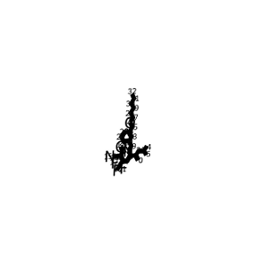 C=C(C=C(C)C)c1cc(C(F)(F)F)c(C#N)c(=O)n1Cc1cccc(COCCCCCC)c1